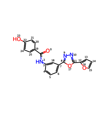 O=C(Nc1cccc(-c2nnc(-c3ccco3)o2)c1)c1ccc(O)cc1